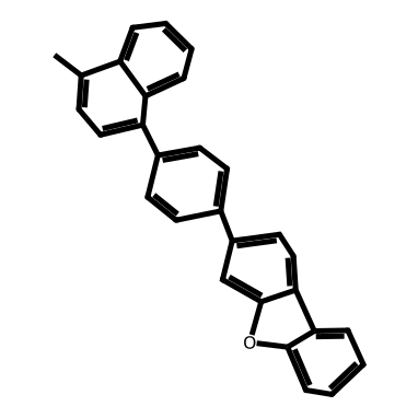 Cc1ccc(-c2ccc(-c3ccc4c(c3)oc3ccccc34)cc2)c2ccccc12